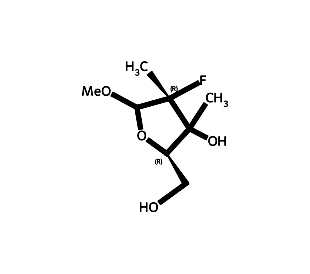 COC1O[C@H](CO)C(C)(O)[C@@]1(C)F